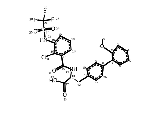 COc1ccccc1-c1ccc(C[C@@H](NC(=O)c2cccc(NS(=O)(=O)C(F)(F)F)c2Cl)C(=O)O)cc1